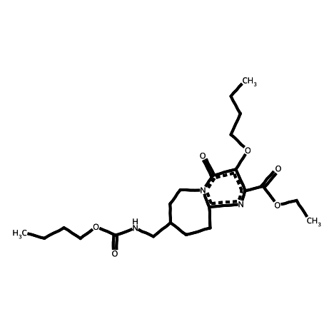 CCCCOC(=O)NCC1CCc2nc(C(=O)OCC)c(OCCCC)c(=O)n2CC1